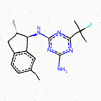 Cc1ccc2c(c1)[C@H](Nc1nc(N)nc(C(C)(C)F)n1)[C@@H](C)C2